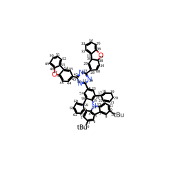 CC(C)(C)c1ccc2c(c1)c1cc(C(C)(C)C)ccc1n2-c1c(C2=CCCC=C2)cc(-c2nc(C3=CC4c5ccccc5OC4C=C3)nc(-c3ccc4oc5ccccc5c4c3)n2)cc1-c1ccccc1